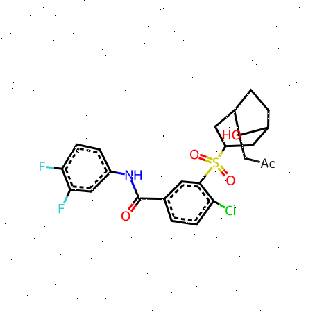 CC(=O)CC1(O)C2CCC1CC(S(=O)(=O)c1cc(C(=O)Nc3ccc(F)c(F)c3)ccc1Cl)C2